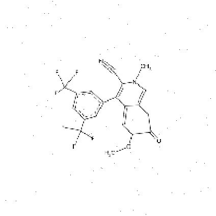 COC1C=C2C(=CN(C)C(C#N)=C2c2cc(C(F)(F)F)cc(C(F)(F)F)c2)CC1=O